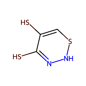 SC1=CSNN=C1S